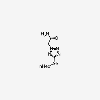 CCCCCC[Se]c1nnn(CC(N)=O)n1